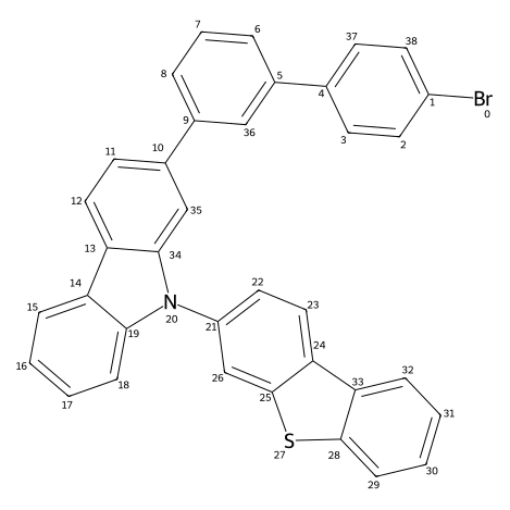 Brc1ccc(-c2cccc(-c3ccc4c5ccccc5n(-c5ccc6c(c5)sc5ccccc56)c4c3)c2)cc1